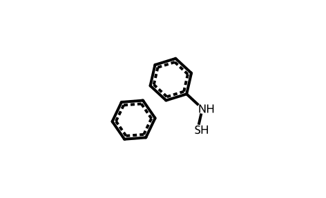 SNc1ccccc1.c1ccccc1